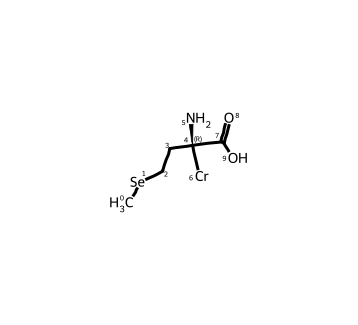 C[Se]CC[C@@](N)([Cr])C(=O)O